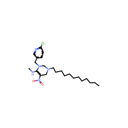 CCCCCCCCCCCCN1CC([N+](=O)[O-])=C(NC)N(Cc2ccc(Cl)nc2)C1